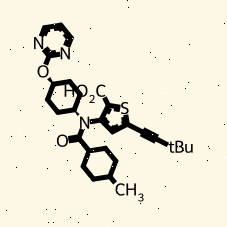 CC1CCC(C(=O)N(c2cc(C#CC(C)(C)C)sc2C(=O)O)[C@H]2CC[C@H](Oc3ncccn3)CC2)CC1